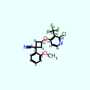 COc1ccccc1C1(C#N)CC(Oc2ccnc(Cl)c2C(F)(F)F)C1